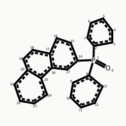 O=P(c1ccccc1)(c1ccccc1)c1ccc2ccc3ccccc3c2c1